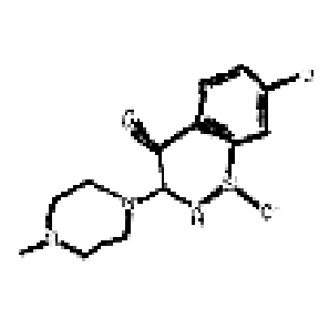 CN1CCN(C2N[S+]([O-])c3cc(Cl)ccc3C2=O)CC1